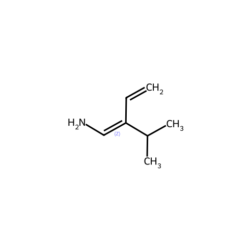 C=C/C(=C\N)C(C)C